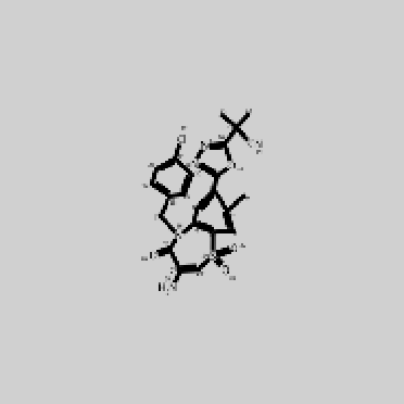 Cc1cc2c(cc1-c1nnc(C(C)(C)C#N)o1)N(Cc1ccc(Cl)cc1)C(=O)C(N)=CS2(=O)=O